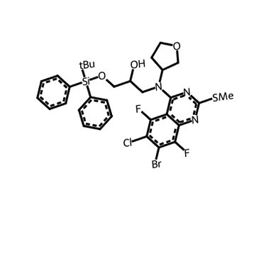 CSc1nc(N(CC(O)CO[Si](c2ccccc2)(c2ccccc2)C(C)(C)C)C2CCOC2)c2c(F)c(Cl)c(Br)c(F)c2n1